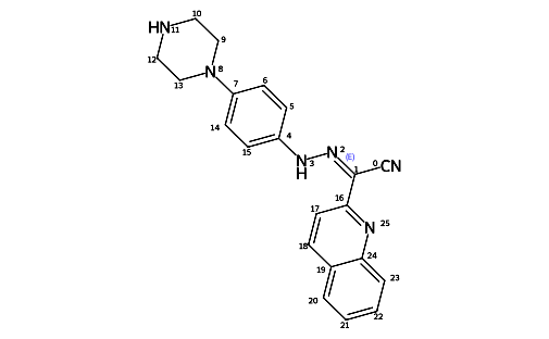 N#C/C(=N/Nc1ccc(N2CCNCC2)cc1)c1ccc2ccccc2n1